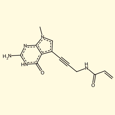 C=CC(=O)NCC#Cc1cn(C)c2nc(N)[nH]c(=O)c12